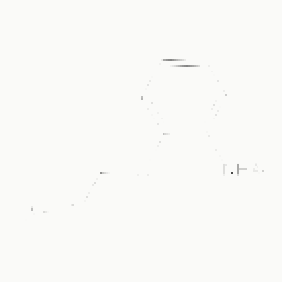 C=CCOc1ccccc1NC(C)=O